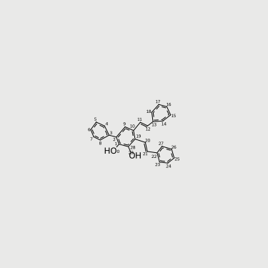 Oc1c(-c2ccccc2)cc(C=Cc2ccccc2)c(C=Cc2ccccc2)c1O